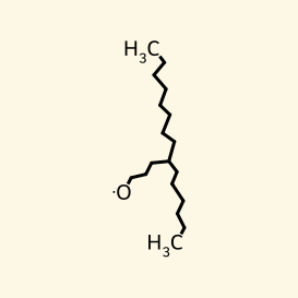 CCCCCCCCC(CCC[O])CCCCCC